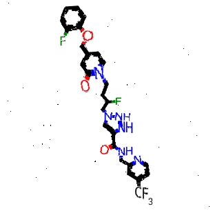 O=C(NCc1cc(C(F)(F)F)ccn1)C1=CN(CC(F)CCn2ccc(COc3ccccc3F)cc2=O)NN1